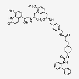 COc1ccc(CC(=O)NCc2ccc(CNC(=O)CCN3CCC(OC(=O)Nc4ccccc4-c4ccccc4)CC3)cc2)cc1CC(C)NC[C@@H](O)c1ccc(O)c2[nH]c(=O)ccc12